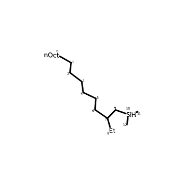 CCCCCCCCCCCCCCC(CC)C[SiH](C)C